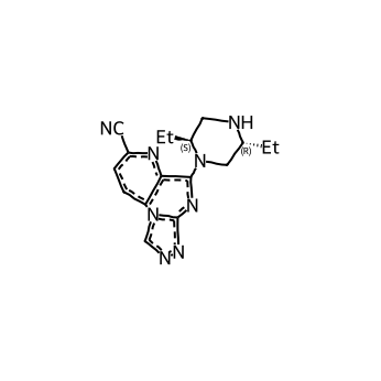 CC[C@@H]1CN(c2nc3nncn3c3ccc(C#N)nc23)[C@@H](CC)CN1